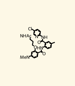 CNc1ccc(C(=O)Nc2ccc(C)cc2C(=O)Nc2ccc(Cl)cn2)c(OCCCNC(C)=O)c1